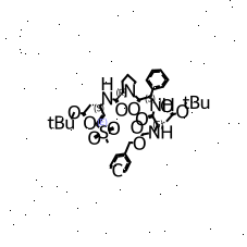 CC(C)(C)OC(=O)C[C@@H](/C=C/S(C)(=O)=O)NC(=O)[C@H]1CCCN1C(=O)[C@@H](NC(=O)[C@H](CC(=O)OC(C)(C)C)NC(=O)OCc1ccccc1)c1ccccc1